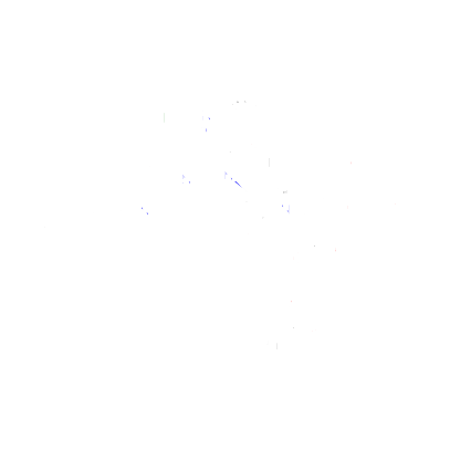 CO/N=C(\C(=O)N[C@@H]1C(=O)N2C(C(=O)OCOC(=O)C(C)(C)C)=C(OS(=O)(=O)C(F)(F)F)CC[C@H]12)c1nc(NC(c2ccccc2)(c2ccccc2)c2ccccc2)sc1Cl